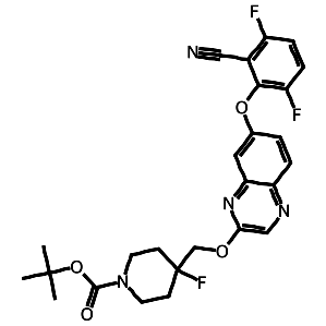 CC(C)(C)OC(=O)N1CCC(F)(COc2cnc3ccc(Oc4c(F)ccc(F)c4C#N)cc3n2)CC1